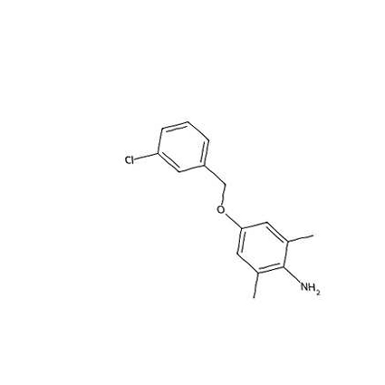 Cc1cc(OCc2cccc(Cl)c2)cc(C)c1N